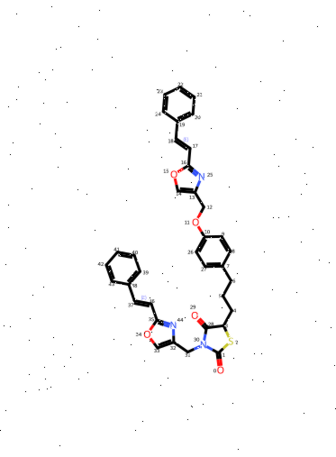 O=C1SC(CCCc2ccc(OCc3coc(/C=C/c4ccccc4)n3)cc2)C(=O)N1Cc1coc(/C=C/c2ccccc2)n1